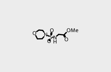 COC(=O)CNS(=O)(=O)N1CCOCC1